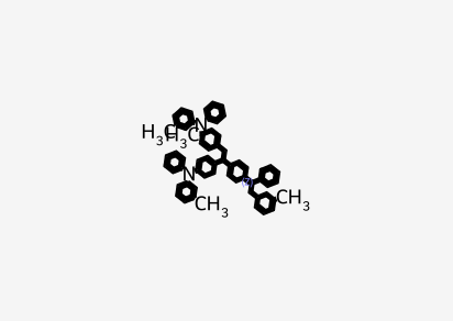 CC1=CC=CC(C/C(=C2/C=CC(C(CC3=CCC(C)(N(c4ccccc4)c4cccc(C)c4)C=C3)C3=CC=C(N(c4ccccc4)c4cccc(C)c4)CC3)=CC2)c2ccccc2)C1